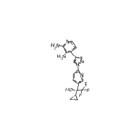 Nc1nccc(-c2cnn(-c3ccc(C(O)(C4CC4)C(F)(F)F)cn3)c2)c1N